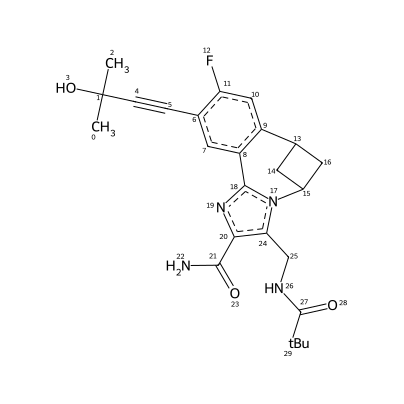 CC(C)(O)C#Cc1cc2c(cc1F)C1CC(C1)n1c-2nc(C(N)=O)c1CNC(=O)C(C)(C)C